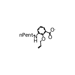 C=CCOc1c(NCCCCC)cccc1C([O])=O